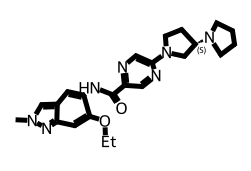 CCOc1cc2nn(C)cc2cc1NC(=O)c1cnc(N2CC[C@H](N3CCCC3)C2)cn1